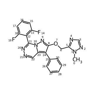 Cn1ncnc1COc1nn2c(-c3c(F)cccc3F)nncc2c1-c1ccccc1